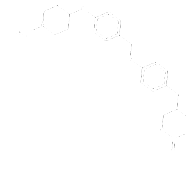 O=C(O)N1CCC(Oc2ccc(COc3ccc(CC4COS(=O)OC4)cc3)cc2)CC1